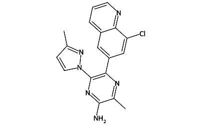 Cc1ccn(-c2nc(N)c(C)nc2-c2cc(Cl)c3ncccc3c2)n1